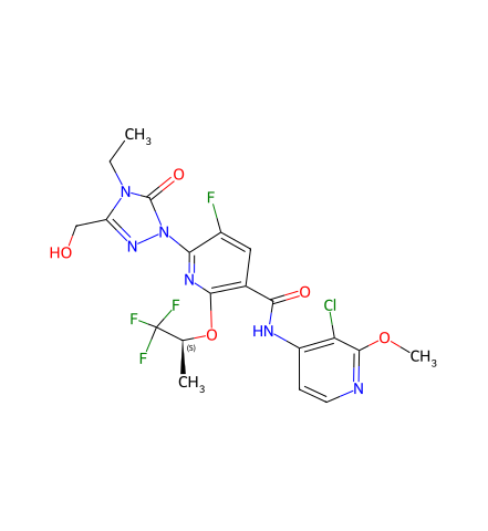 CCn1c(CO)nn(-c2nc(O[C@@H](C)C(F)(F)F)c(C(=O)Nc3ccnc(OC)c3Cl)cc2F)c1=O